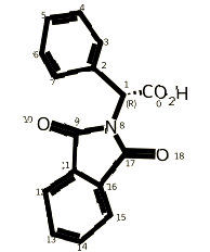 O=C(O)[C@@H](c1ccccc1)N1C(=O)c2ccccc2C1=O